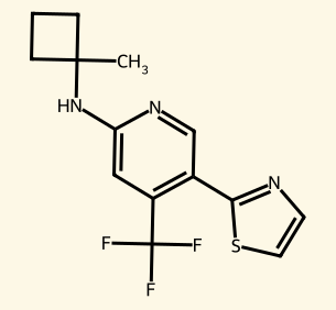 CC1(Nc2cc(C(F)(F)F)c(-c3nccs3)cn2)CCC1